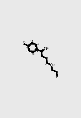 CCCOCCCC(=O)c1ccc(C)cc1